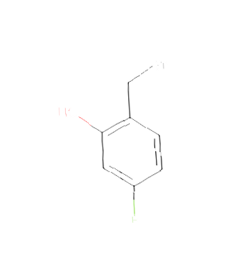 CC(C)Cc1ccc(F)cc1O